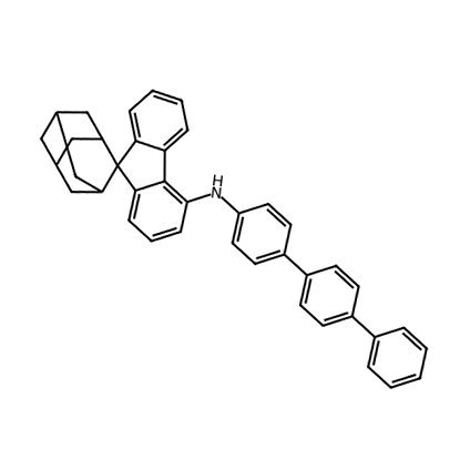 c1ccc(-c2ccc(-c3ccc(Nc4cccc5c4-c4ccccc4C54C5CC6CC(C5)CC4C6)cc3)cc2)cc1